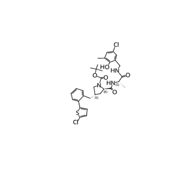 Cc1cc(Cl)cc(CNC(=O)[C@H](C)NC(=O)[C@H]2C[C@H](Cc3ccccc3-c3ccc(Cl)s3)CN2C(=O)OC(C)(C)C)c1O